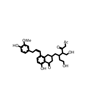 COc1cc(C/C=C\c2ccc(O)c3c2CC(CC(CCO)C(CO)C(=O)CC(C)=O)CC3=O)ccc1O